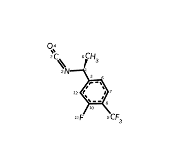 C[C@H](N=C=O)c1ccc(C(F)(F)F)c(F)c1